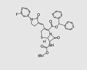 CC(C)(C)OC(=O)N[C@@H]1C(=O)N2C(C(=O)OC(c3ccccc3)c3ccccc3)=C(C=C3CCN(c4cccc(F)c4)C3=O)CS[C@H]12